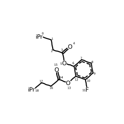 CC(C)CCC(=O)Oc1cccc(F)c1OC(=O)CCC(C)C